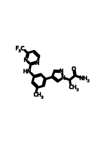 Cc1cc(Nc2nccc(C(F)(F)F)n2)cc(-c2cnn(C(C)C(N)=O)c2)c1